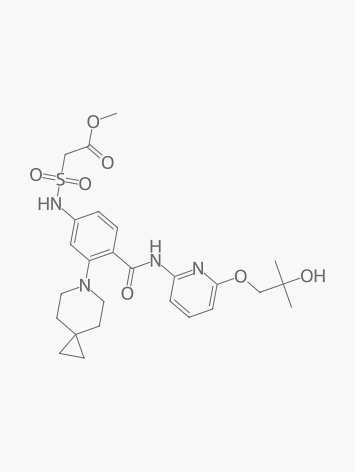 COC(=O)CS(=O)(=O)Nc1ccc(C(=O)Nc2cccc(OCC(C)(C)O)n2)c(N2CCC3(CC2)CC3)c1